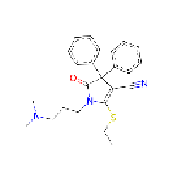 CCSC1=C(C#N)C(c2ccccc2)(c2ccccc2)C(=O)N1CCCN(C)C